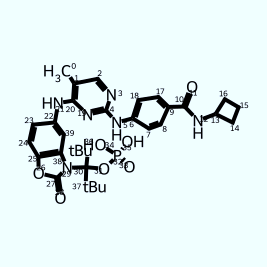 Cc1cnc(Nc2ccc(C(=O)NC3CCC3)cc2)nc1Nc1ccc2oc(=O)n(C(OP(=O)(O)O)(C(C)(C)C)C(C)(C)C)c2c1